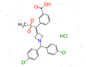 CS(=O)(=O)C(=C1CN(C(c2ccc(Cl)cc2)c2ccc(Cl)cc2)C1)c1cccc(C(=O)O)c1.Cl